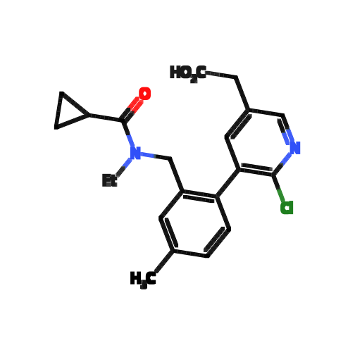 CCN(Cc1cc(C)ccc1-c1cc(CC(=O)O)cnc1Cl)C(=O)C1CC1